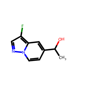 CC(O)c1ccn2ncc(F)c2c1